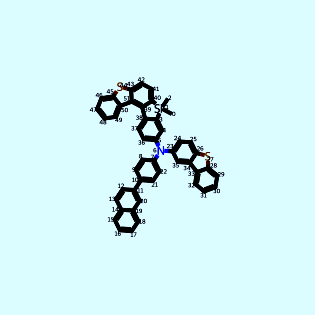 C[Si]1(C)c2cc(N(c3ccc(-c4ccc5ccccc5c4)cc3)c3ccc4sc5ccccc5c4c3)ccc2-c2c1ccc1sc3ccccc3c21